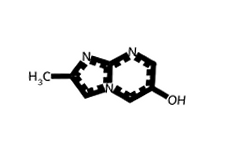 Cc1cn2cc(O)cnc2n1